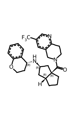 O=C(N1CCc2ncc(C(F)(F)F)cc2C1)[C@@]12CCC[C@@H]1C[C@@H](N[C@@H]1CCOc3ccccc31)C2